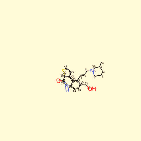 CC1CCCN(C/C=C/c2c(CO)ccc3[nH]c(=O)c4sccc4c23)C1